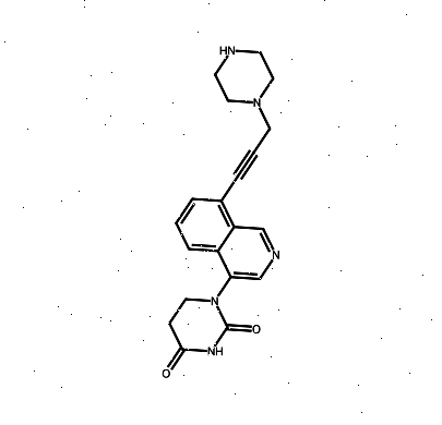 O=C1CCN(c2cncc3c(C#CCN4CCNCC4)cccc23)C(=O)N1